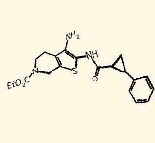 CCOC(=O)N1CCc2c(sc(NC(=O)C3CC3c3ccccc3)c2N)C1